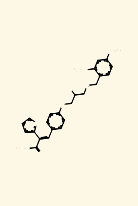 COC(=O)C(=Cc1ccc(OCC(O)CNCc2ccc(OC)cc2OC)cc1)c1cccs1